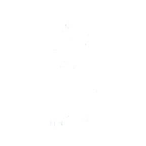 NC1=CC(c2ccc(N)cc2)=CCC1